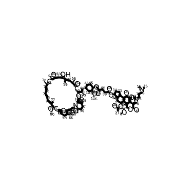 COC[C@H]1OC(=O)/C(=C/N(C)CCCN(C)C)C2=C(O)C(=O)C3=C([C@H](OC(C)=O)C[C@@]4(C)C3CC[C@@H]4OC(=O)CCC(=O)O[C@@H]3CC[C@@H](C[C@@H](C)[C@@H]4CC(=O)[C@H](C)/C=C(\C)[C@@H](O)[C@@H](C)C(=O)[C@H](C)C[C@H](C)/C=C/C=C/C=C(\C)[C@@H](OC)C[C@@H]5CC[C@@H](C)[C@@](O)(O5)C(=O)C(=O)N5CCCC[C@H]5C(=O)O4)C[C@H]3OC)[C@]21C